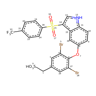 O=S(=O)(O)Cc1cc(Br)c(Oc2ccc3[nH]cc(S(=O)(=O)c4ccc(C(F)(F)F)cc4)c3c2)c(Br)c1